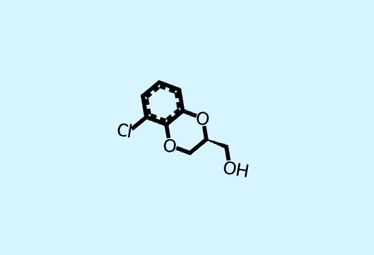 OC[C@H]1COc2c(Cl)cccc2O1